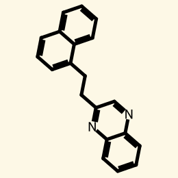 c1ccc2c(CCc3cnc4ccccc4n3)cccc2c1